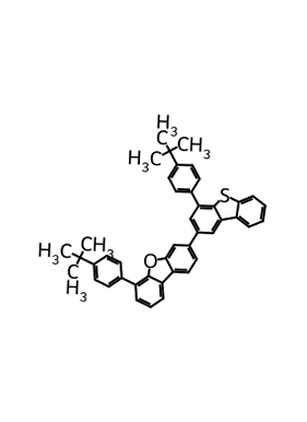 CC(C)(C)c1ccc(-c2cccc3c2oc2cc(-c4cc(-c5ccc(C(C)(C)C)cc5)c5sc6ccccc6c5c4)ccc23)cc1